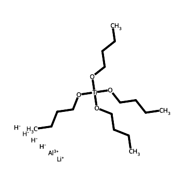 CCCC[O][Ti]([O]CCCC)([O]CCCC)[O]CCCC.[Al+3].[H-].[H-].[H-].[H-].[Li+]